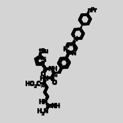 CCC[C@H]1CC[C@H](C2CCN(c3cnc(-c4ccc(C[C@H](NC(=O)c5ccc(C(C)(C)C)s5)C(=O)N[C@@H](CCCNC(=N)N)C(=O)O)cc4)nc3)CC2)CC1